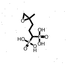 CC1(CCC(P(=O)(O)O)P(=O)(O)O)CO1